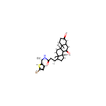 CC[C@H](NC(=O)C[C@@H](C)C1CC[C@H]2C3C(=O)CC4CC(=O)CCC4(C)[C@H]3CCC12C)c1ccc(Br)s1